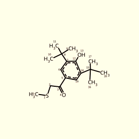 CSCC(=O)c1cc(C(C)(C)C)c(O)c(C(C)(C)C)c1